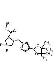 CC(C)(C)OC(=O)N1CC(F)(F)C[C@H]1Cn1cc(C2OC(C)(C)C(C)(C)O2)cn1